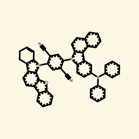 N#Cc1cc(-n2c3ccc(N(c4ccccc4)c4ccccc4)cc3c3c4ccccc4ccc32)c(C#N)cc1-n1c2c(c3ccc4c5ccccc5oc4c31)CCC=C2